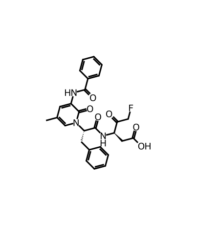 Cc1cc(NC(=O)c2ccccc2)c(=O)n([C@@H](Cc2ccccc2)C(=O)N[C@H](CC(=O)O)C(=O)CF)c1